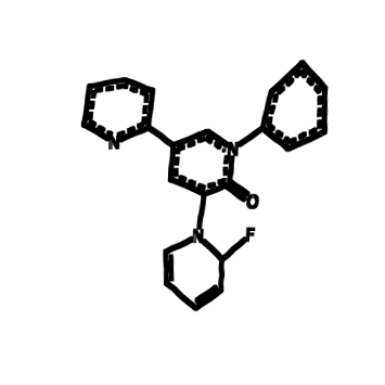 O=c1c(N2C=CC=CC2F)cc(-c2ccccn2)cn1-c1ccccc1